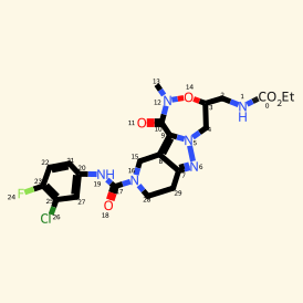 CCOC(=O)NCC1Cn2nc3c(c2C(=O)N(C)O1)CN(C(=O)Nc1ccc(F)c(Cl)c1)CC3